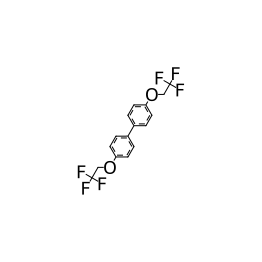 FC(F)(F)COc1ccc(-c2ccc(OCC(F)(F)F)cc2)cc1